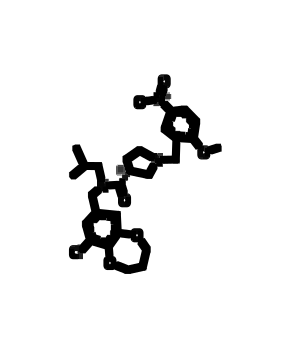 COc1ccc([N+](=O)[O-])cc1CN1CC[C@@H](C(=O)N(Cc2cc(Cl)c3c(c2)OCCCO3)CC(C)C)C1